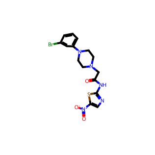 O=C(CN1CCN(c2cccc(Br)c2)CC1)Nc1ncc([N+](=O)[O-])s1